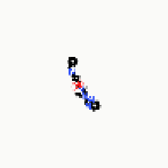 C[C@@H]1CN(c2cnc3ccccc3n2)C[C@@H](C)N1C(=O)OC1CC2(C1)CN(Cc1ccccc1)C2